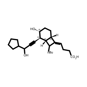 CCCCC1C(=CCCC(=O)O)[C@H]2CC[C@@H](O)[C@H](C#CC(O)C3CCCC3)[C@@H]12